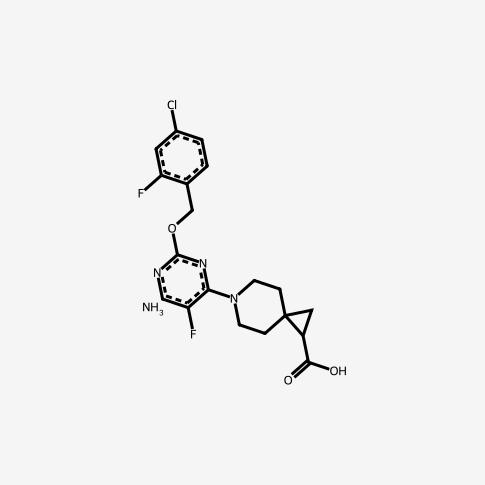 N.O=C(O)C1CC12CCN(c1nc(OCc3ccc(Cl)cc3F)ncc1F)CC2